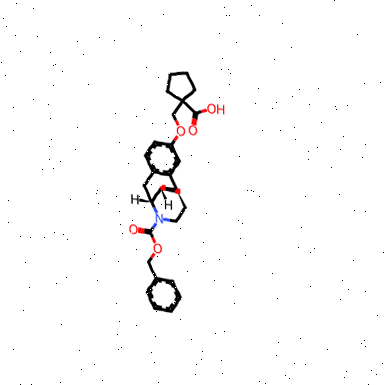 O=C(OCc1ccccc1)N1CC[C@]23CCCC[C@H]2[C@H]1Cc1ccc(OCC2(C(=O)O)CCCC2)cc13